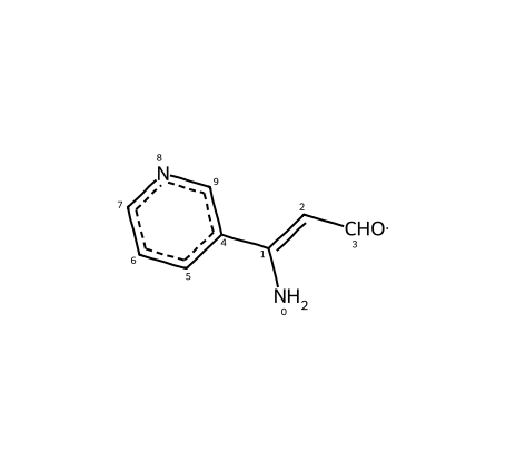 N/C(=C\[C]=O)c1cccnc1